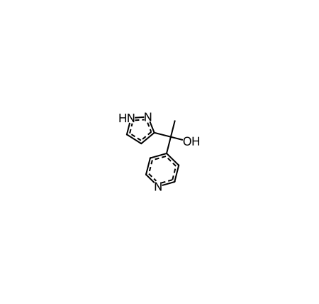 CC(O)(c1ccncc1)c1cc[nH]n1